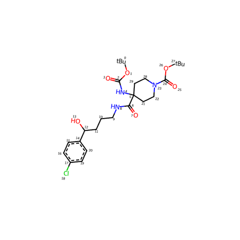 CC(C)(C)OC(=O)NC1(C(=O)NCCCC(O)c2ccc(Cl)cc2)CCN(C(=O)OC(C)(C)C)CC1